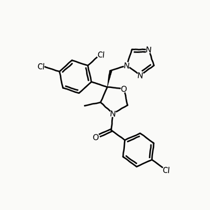 CC1N(C(=O)c2ccc(Cl)cc2)CO[C@@]1(Cn1cncn1)c1ccc(Cl)cc1Cl